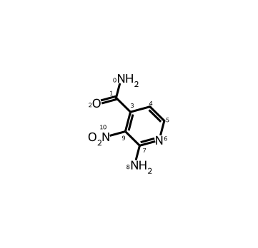 NC(=O)c1ccnc(N)c1[N+](=O)[O-]